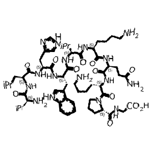 CC(C)C[C@H](NC(=O)[C@@H](N)C(C)C)C(=O)N[C@@H](Cc1c[nH]cn1)C(=O)N[C@@H](Cc1c[nH]c2ccccc12)C(=O)N[C@H](C(=O)N[C@@H](CCCCN)C(=O)N[C@@H](CCC(N)=O)C(=O)N[C@@H](CCCCN)C(=O)N1CCC[C@H]1C(=O)NCC(=O)O)C(C)C